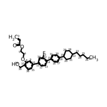 C=CC(=O)OCCOc1cc(-c2ccc(-c3ccc(C4CCC(CCCCC)CC4)cc3)c(F)c2)ccc1CO